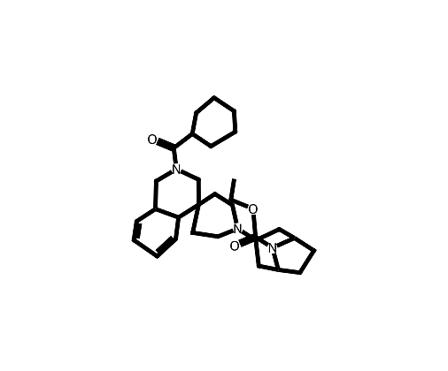 CCOC(=O)N1C2CCC1CC(N1CCC3(CC1)CN(C(=O)C1CCCCC1)CC1C=CC=CC13)C2